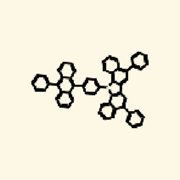 c1ccc(-c2c3ccccc3c(-c3ccc(-n4c5c6ccccc6c(-c6ccccc6)cc5c5cc(-c6ccccc6)c6ccccc6c54)cc3)c3ccccc23)cc1